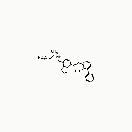 Cc1c(COc2ccc(CNC(C)CC(=O)O)c3c2CCC3)cccc1-c1ccccc1